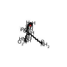 CC(C)C[C@H](NC(=O)[C@H](CCCNC(=N)N[N+](=O)[O-])NC(=O)CCCCCCCCCCC(N)=O)B1O[C@@H]2C[C@@H]3C[C@@H](C3(C)C)[C@]2(C)O1